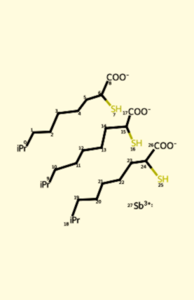 CC(C)CCCCCC(S)C(=O)[O-].CC(C)CCCCCC(S)C(=O)[O-].CC(C)CCCCCC(S)C(=O)[O-].[Sb+3]